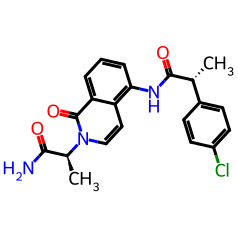 C[C@@H](C(=O)Nc1cccc2c(=O)n([C@@H](C)C(N)=O)ccc12)c1ccc(Cl)cc1